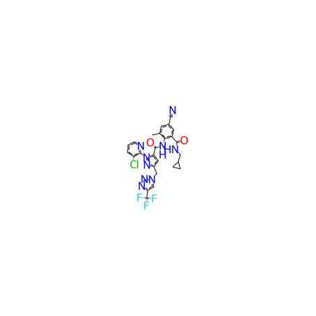 Cc1cc(C#N)cc(C(=O)NCC2CC2)c1NC(=O)c1cc(Cn2cc(C(F)(F)F)nn2)nn1-c1ncccc1Cl